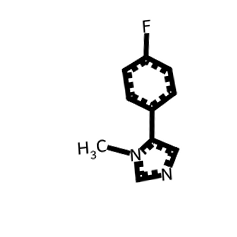 Cn1cncc1-c1ccc(F)cc1